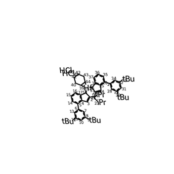 CC(C)CC1=Cc2c(-c3cc(C(C)(C)C)cc(C(C)(C)C)c3)cccc2[CH]1[Hf]1([CH]2C(CC(C)C)=Cc3c(-c4cc(C(C)(C)C)cc(C(C)(C)C)c4)cccc32)[CH]2CCCC[CH]21.Cl.Cl